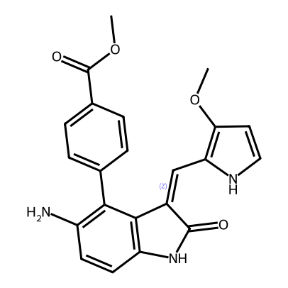 COC(=O)c1ccc(-c2c(N)ccc3c2/C(=C/c2[nH]ccc2OC)C(=O)N3)cc1